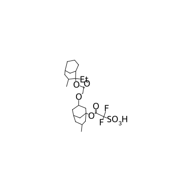 CCC1(OC(=O)COC2CC3CC(C)CC(OC(=O)C(F)(F)S(=O)(=O)O)(C3)C2)C(C)CC2CCCC1C2